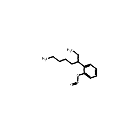 CCCCCC(CC)c1ccccc1OP=O